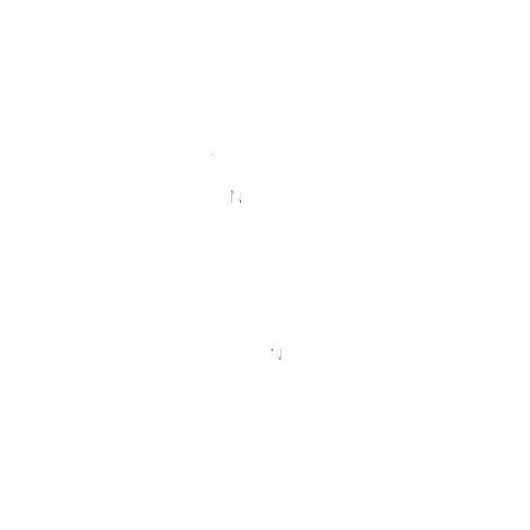 c1ccc(N(c2cccc3ccccc23)c2cccc3c2c2ccccc2n3C2(c3ccccc3)c3ccccc3-c3ccccc32)cc1